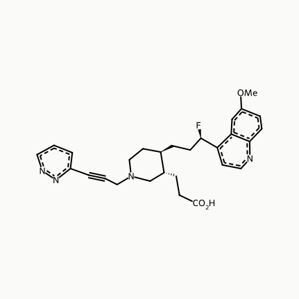 COc1ccc2nccc([C@H](F)CC[C@@H]3CCN(CC#Cc4cccnn4)C[C@H]3CCC(=O)O)c2c1